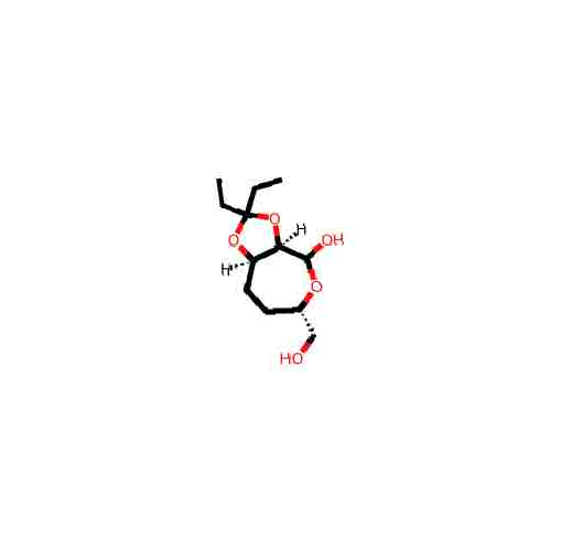 CCC1(CC)O[C@@H]2CC[C@@H](CO)OC(O)[C@@H]2O1